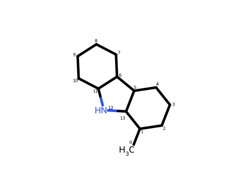 CC1CCCC2C3CCCCC3NC12